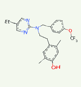 CCc1cnc(N(CCc2cc(C)c(O)cc2C)Cc2ccc(OC(F)(F)F)cc2)nc1